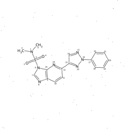 CN(C)S(=O)(=O)n1cnc2ccc(-c3cnn(-c4ccccc4)n3)nc21